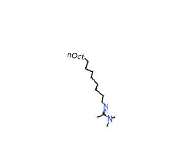 CCCCCCCCCCCCCCCC/N=C(\C)N(C)C